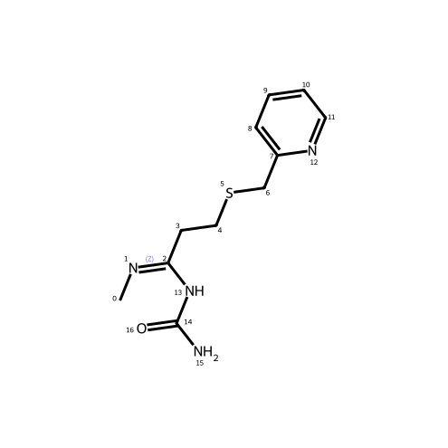 C/N=C(/CCSCc1ccccn1)NC(N)=O